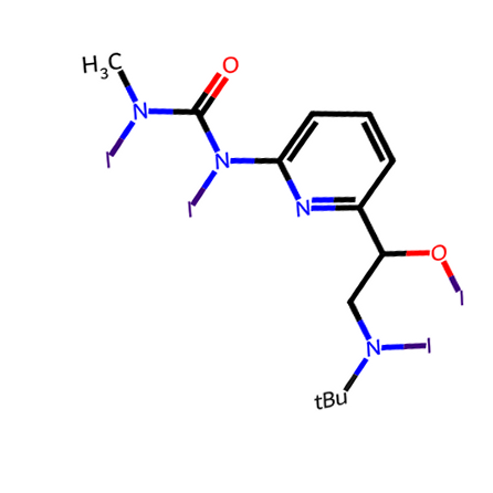 CN(I)C(=O)N(I)c1cccc(C(CN(I)C(C)(C)C)OI)n1